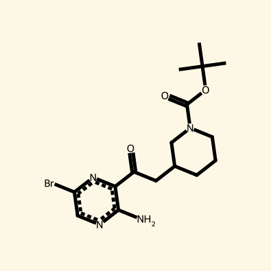 CC(C)(C)OC(=O)N1CCCC(CC(=O)c2nc(Br)cnc2N)C1